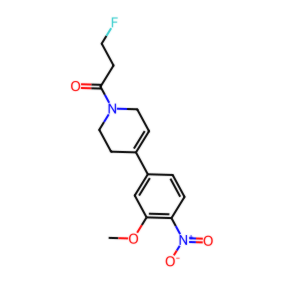 COc1cc(C2=CCN(C(=O)CCF)CC2)ccc1[N+](=O)[O-]